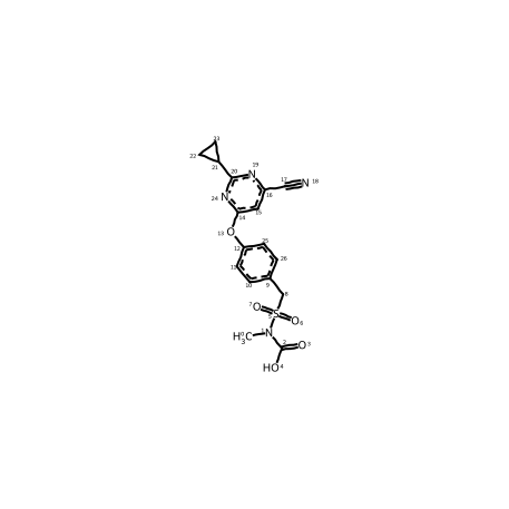 CN(C(=O)O)S(=O)(=O)Cc1ccc(Oc2cc(C#N)nc(C3CC3)n2)cc1